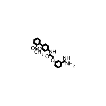 CS(=O)(=O)c1ccccc1-c1ccc(NC(=O)COc2cccc(C(=N)N)c2)cc1